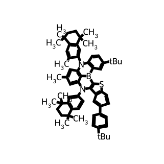 Cc1cc2c3c(c1)N(c1ccc4c(c1)C(C)(C)CCC4(C)C)c1c(sc4ccc(-c5ccc(C(C)(C)C)cc5)cc14)B3c1cc(C(C)(C)C)ccc1N2c1cc2c(cc1C)C(C)(C)CCC2(C)C